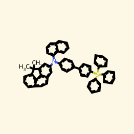 CC1(C)c2cccc3ccc4cc(N(c5ccc(-c6ccc(S(c7ccccc7)(c7ccccc7)c7ccccc7)cc6)cc5)c5cccc6ccccc56)cc1c4c23